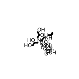 C=CCNCCN(CC(O)CO)CC(O)CO.[O-][Cl+3]([O-])([O-])O.[O-][Cl+3]([O-])([O-])O